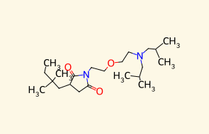 CCC(C)(C)CC1CC(=O)N(CCOCCN(CC(C)C)CC(C)C)C1=O